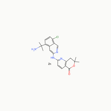 CC1(C)Cc2nc(Nc3cc4c(C(C)(C)N)ccc(Cl)c4cn3)ccc2C(=O)O1.[Zn]